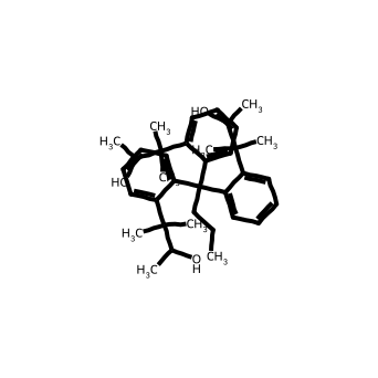 CCCC(c1ccccc1C(C)(C)C(C)O)(c1ccccc1C(C)(C)C(C)O)c1ccccc1C(C)(C)C(C)O